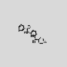 CN1CCC(C(=O)c2cccc(NC(=O)c3cccnc3)n2)CC1